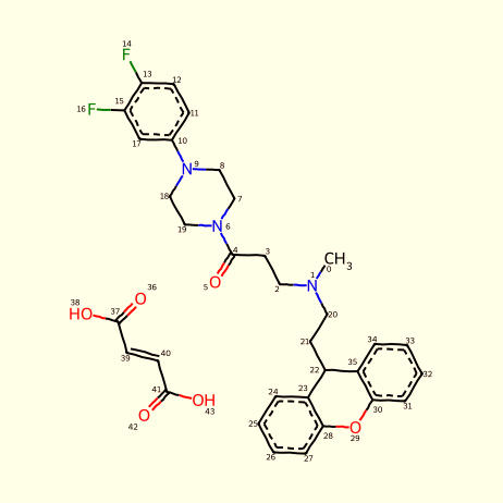 CN(CCC(=O)N1CCN(c2ccc(F)c(F)c2)CC1)CCC1c2ccccc2Oc2ccccc21.O=C(O)C=CC(=O)O